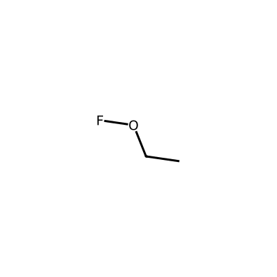 CCOF